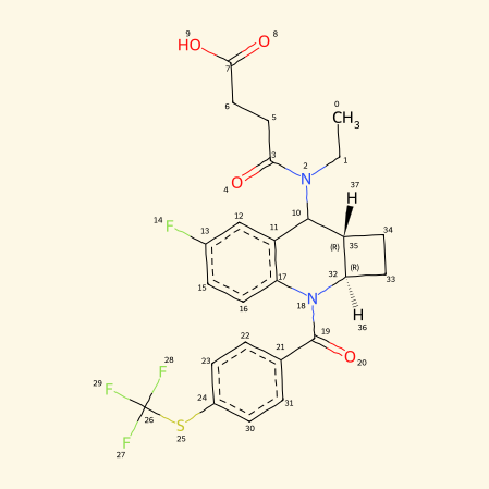 CCN(C(=O)CCC(=O)O)C1c2cc(F)ccc2N(C(=O)c2ccc(SC(F)(F)F)cc2)[C@@H]2CC[C@@H]12